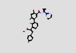 CNC(=O)c1c(-c2ccc(F)cc2)oc2ccc(-c3cc(C(=O)NC4(c5ncccn5)CC4)c(C)cc3C)c(F)c12